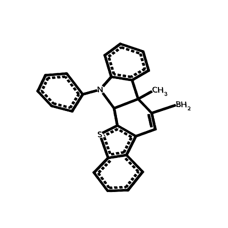 BC1=Cc2c(sc3ccccc23)C2N(c3ccccc3)c3ccccc3C12C